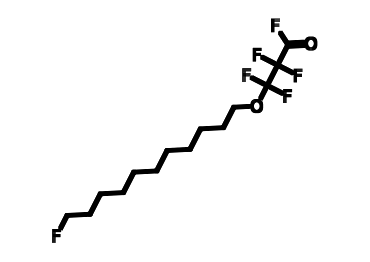 O=C(F)C(F)(F)C(F)(F)OCCCCCCCCCCCF